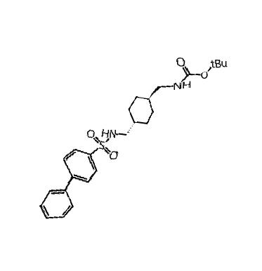 CC(C)(C)OC(=O)NC[C@H]1CC[C@H](CNS(=O)(=O)c2ccc(-c3ccccc3)cc2)CC1